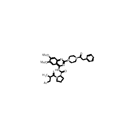 COc1cc2nc(N3CCN(C(=O)Cc4ccccc4)CC3)nc(NC(=O)[C@H]3CCCN3C(=S)C(C)CC(C)=O)c2cc1OC